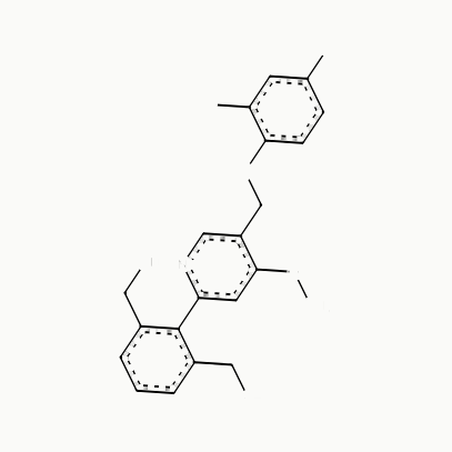 CCc1cccc(CC)c1-c1cc(OC)c(COc2ccc(F)cc2F)cn1